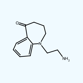 NCCN1CCCC(=O)c2ccccc21